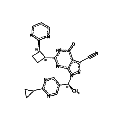 C[C@@H](c1cnc(C2CC2)nc1)n1nc(C#N)c2c(=O)[nH]c([C@@H]3CC[C@H]3c3ncccn3)nc21